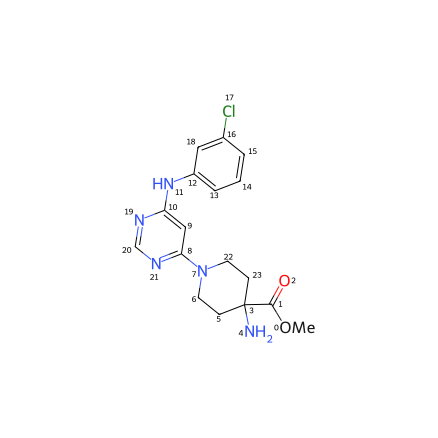 COC(=O)C1(N)CCN(c2cc(Nc3cccc(Cl)c3)ncn2)CC1